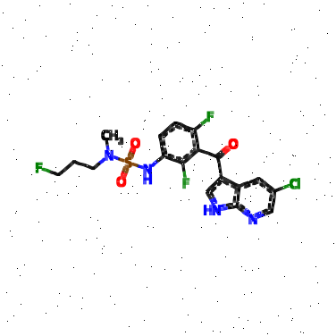 CN(CCCF)S(=O)(=O)Nc1ccc(F)c(C(=O)c2c[nH]c3ncc(Cl)cc23)c1F